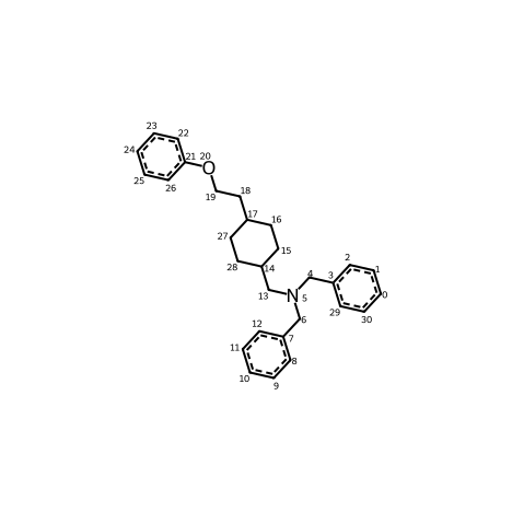 c1ccc(CN(Cc2ccccc2)CC2CCC(CCOc3ccccc3)CC2)cc1